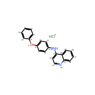 Cl.c1ccc(Oc2ccc(Nc3ccnc4ccccc34)cc2)cc1